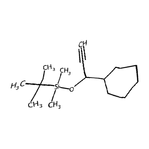 C#CC(O[Si](C)(C)C(C)(C)C)C1CCCCC1